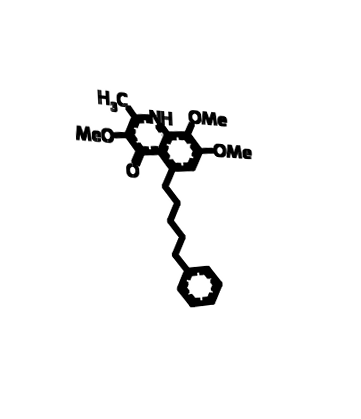 COc1cc(CCCCCc2ccccc2)c2c(=O)c(OC)c(C)[nH]c2c1OC